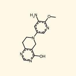 COc1ncc(N2CCc3ncnc(O)c3C2)cc1N